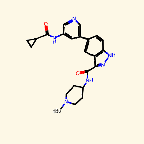 CC(C)(C)N1CCC(NC(=O)c2n[nH]c3ccc(-c4cncc(NC(=O)C5CC5)c4)cc23)CC1